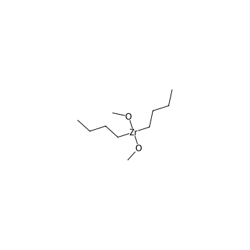 CCC[CH2][Zr]([CH2]CCC)([O]C)[O]C